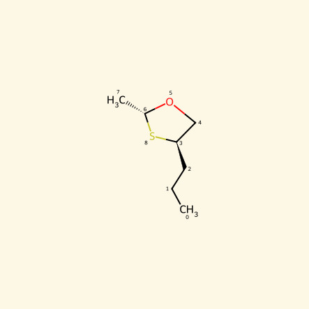 CCC[C@@H]1CO[C@@H](C)S1